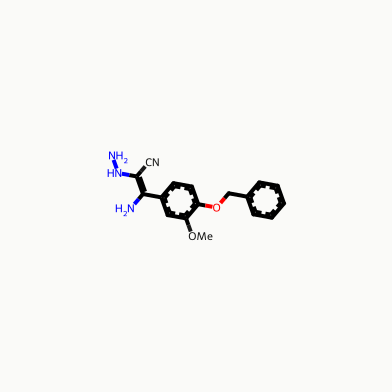 COc1cc(/C(N)=C(\C#N)NN)ccc1OCc1ccccc1